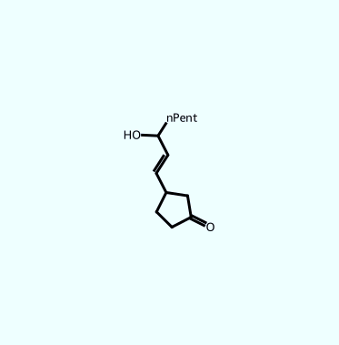 CCCCCC(O)C=CC1CCC(=O)C1